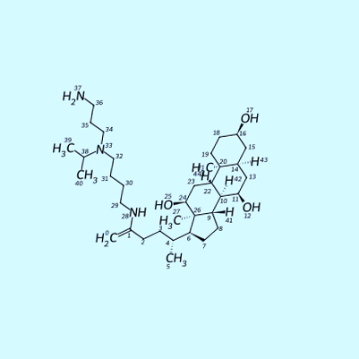 C=C(CC[C@@H](C)[C@@H]1CC[C@H]2[C@@H]3[C@H](O)C[C@@H]4C[C@H](O)CC[C@]4(C)[C@H]3C[C@H](O)[C@@]21C)NCCCCN(CCCN)C(C)C